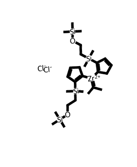 C[C](C)=[Zr+2]([C]1=C([Si](C)(C)CCO[Si](C)(C)C)C=CC1)[C]1=C([Si](C)(C)CCO[Si](C)(C)C)C=CC1.[Cl-].[Cl-]